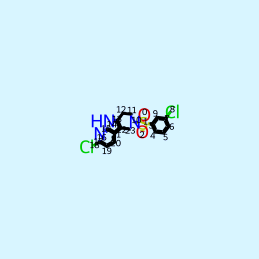 O=S(=O)(c1cccc(Cl)c1)N1CCc2[nH]c3nc(Cl)ccc3c2C1